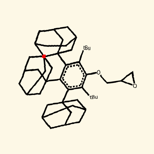 CC(C)(C)c1c(OCC2CO2)c(C(C)(C)C)c(C23CC4CC(CC(C4)C2)C3)c(C23CC4CC(CC(C4)C2)C3)c1C12CC3CC(CC(C3)C1)C2